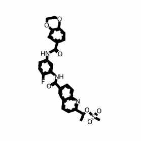 CC(OS(C)(=O)=O)c1ccc2cc(C(=O)Nc3cc(NC(=O)c4ccc5c(c4)OCCO5)ccc3F)ccc2n1